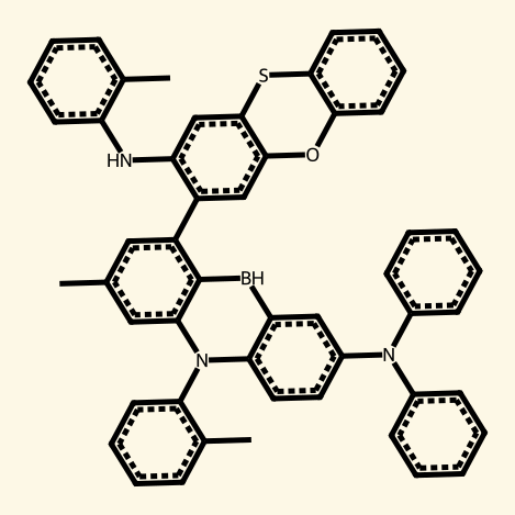 Cc1cc(-c2cc3c(cc2Nc2ccccc2C)Sc2ccccc2O3)c2c(c1)N(c1ccccc1C)c1ccc(N(c3ccccc3)c3ccccc3)cc1B2